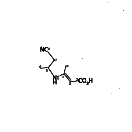 C/C(=C\C(=O)O)NC(C)CC#N